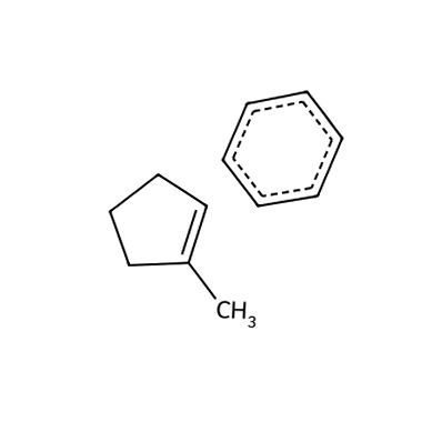 CC1=CCCC1.c1ccccc1